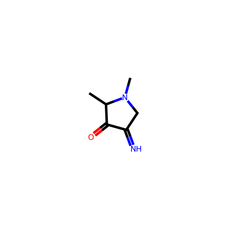 CC1C(=O)C(=N)CN1C